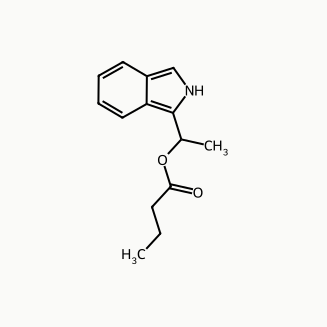 CCCC(=O)OC(C)c1[nH]cc2ccccc12